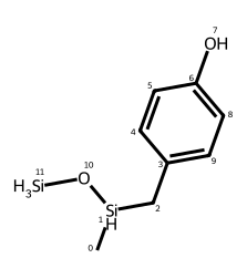 C[SiH](Cc1ccc(O)cc1)O[SiH3]